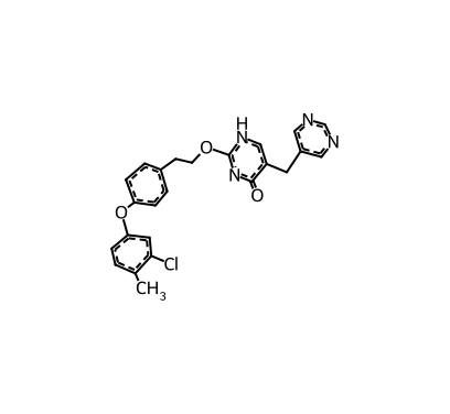 Cc1ccc(Oc2ccc(CCOc3nc(=O)c(Cc4cncnc4)c[nH]3)cc2)cc1Cl